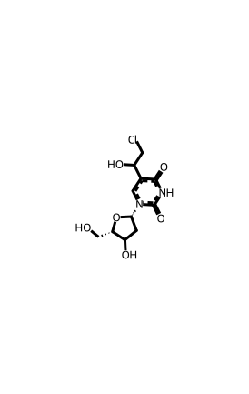 O=c1[nH]c(=O)n([C@@H]2CC(O)[C@H](CO)O2)cc1C(O)CCl